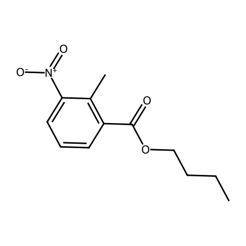 CCCCOC(=O)c1cccc([N+](=O)[O-])c1C